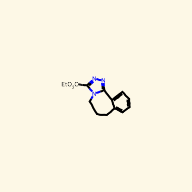 CCOC(=O)c1nnc2n1CCCc1ccccc1-2